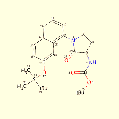 CC(C)(C)OC(=O)N[C@H]1CCN(c2cccc3ccc(O[Si](C)(C)C(C)(C)C)cc23)C1=O